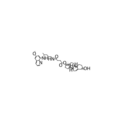 COc1cc(NC(C)CCCNC(=O)CCC(=O)O[C@H]2CC[C@H]3[C@@H]4CC=C5C[C@@H](O)CC[C@]5(C)[C@H]4CC[C@]23C)c2ncccc2c1